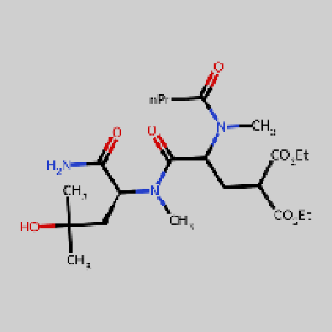 CCCC(=O)N(C)C(CC(C(=O)OCC)C(=O)OCC)C(=O)N(C)[C@@H](CC(C)(C)O)C(N)=O